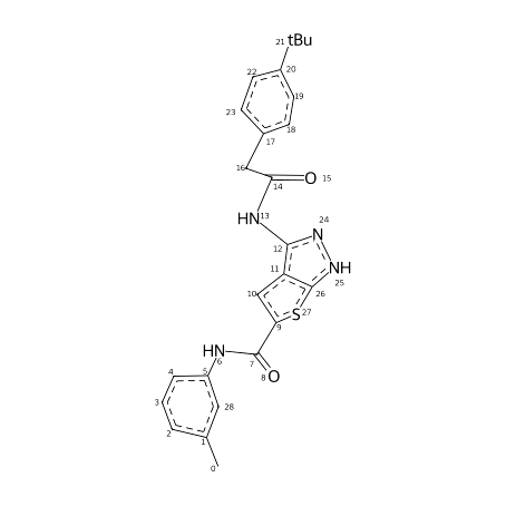 Cc1cccc(NC(=O)c2cc3c(NC(=O)Cc4ccc(C(C)(C)C)cc4)n[nH]c3s2)c1